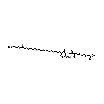 CCCCOC(=O)CCCCCCCCCCCCCCCCCCC(=O)N[C@@H](CCC(=O)NCCOCCOCC(=O)O)C(=O)O